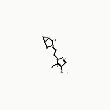 Cc1c(N)cnn1CCN1CC2CC2C1